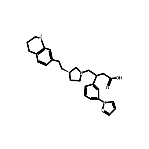 O=C(O)CC(CN1CC[C@@H](CCc2ccc3c(c2)NCCC3)C1)c1cccc(-n2cccn2)c1